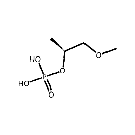 COC[C@H](C)OP(=O)(O)O